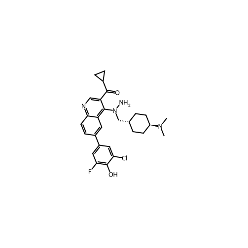 CN(C)[C@H]1CC[C@H](CN(N)c2c(C(=O)C3CC3)cnc3ccc(-c4cc(F)c(O)c(Cl)c4)cc23)CC1